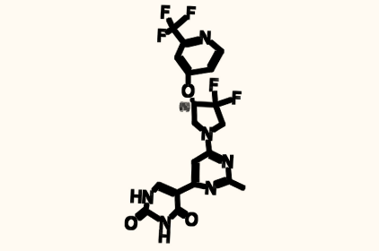 Cc1nc(-c2c[nH]c(=O)[nH]c2=O)cc(N2C[C@H](Oc3ccnc(C(F)(F)F)c3)C(F)(F)C2)n1